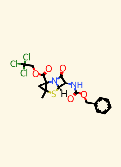 CC12CC1(C(=O)OCC(Cl)(Cl)Cl)N1C(=O)C(NC(=O)OCc3ccccc3)[C@@H]1S2